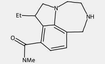 CCC1CN2CCNCc3ccc(C(=O)NC)c1c32